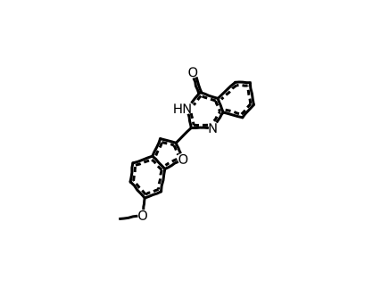 COc1ccc2cc(-c3nc4ccccc4c(=O)[nH]3)oc2c1